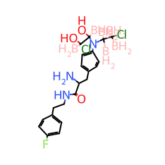 BC(B)(Cl)C(B)(B)N(c1ccc(CC(N)C(=O)NCCc2ccc(F)cc2)cc1)C(B)(O)C(B)(O)Cl